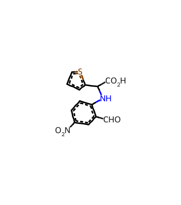 O=Cc1cc([N+](=O)[O-])ccc1NC(C(=O)O)c1cccs1